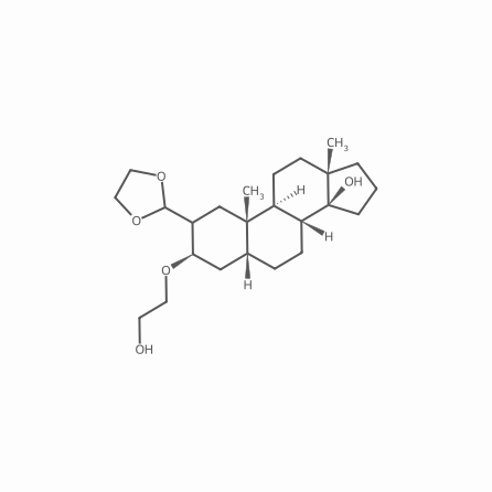 C[C@]12CC(C3OCCO3)[C@H](OCCO)C[C@H]1CC[C@@H]1[C@@H]2CC[C@]2(C)CCC[C@]12O